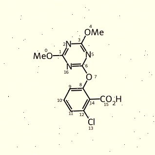 COc1nc(OC)nc(Oc2cccc(Cl)c2C(=O)O)n1